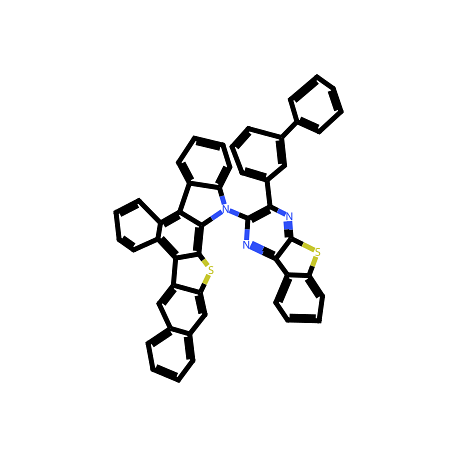 c1ccc(-c2cccc(-c3nc4sc5ccccc5c4nc3-n3c4ccccc4c4c5ccccc5c5c6cc7ccccc7cc6sc5c43)c2)cc1